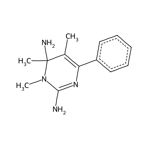 CC1=C(c2ccccc2)N=C(N)N(C)C1(C)N